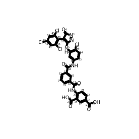 O=C1N=NC(Nc2cc(NC(=O)c3cccc(C(=O)Nc4ccc(C(=O)O)cc4C(=O)O)c3)ccc2Cl)=C1c1c(Cl)cc(Cl)cc1Cl